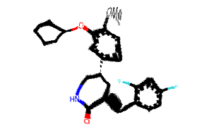 COc1ccc([C@H]2CNC(=O)C(=Cc3ccc(F)cc3F)C2)cc1OC1CCCC1